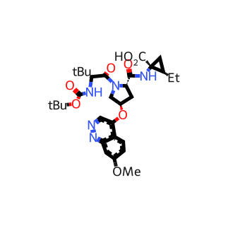 CC[C@@H]1C[C@]1(NC(=O)[C@@H]1C[C@@H](Oc2cnnc3cc(OC)ccc23)CN1C(=O)[C@@H](NC(=O)OC(C)(C)C)C(C)(C)C)C(=O)O